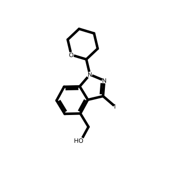 OCc1cccc2c1c(I)nn2C1CCCCO1